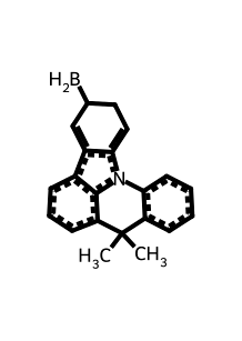 BC1C=c2c(n3c4c(cccc24)C(C)(C)c2ccccc2-3)=CC1